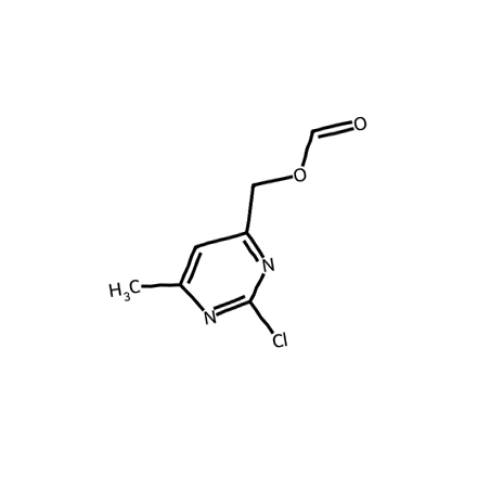 Cc1cc(COC=O)nc(Cl)n1